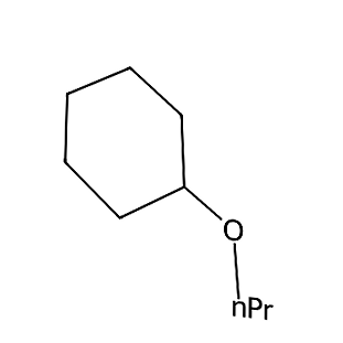 C[CH]COC1CCCCC1